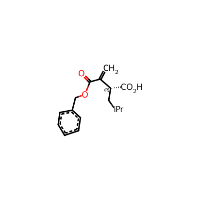 C=C(C(=O)OCc1ccccc1)[C@@H](CC(C)C)C(=O)O